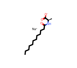 CCCCCCCCCCCC(=O)N[C@H](C)C(=O)[O-].[Na+]